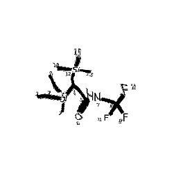 C[Si](C)(C)C(C(=O)NC(F)(F)F)[Si](C)(C)C